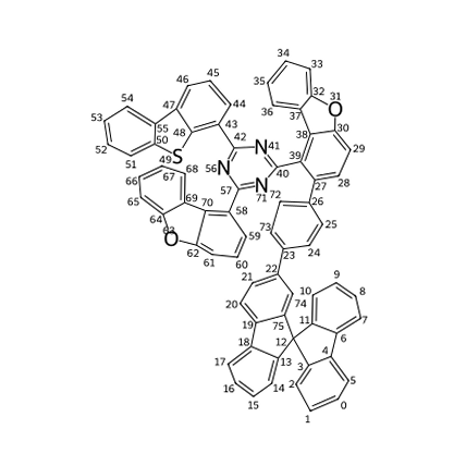 c1ccc2c(c1)-c1ccccc1C21c2ccccc2-c2ccc(-c3ccc(-c4ccc5oc6ccccc6c5c4-c4nc(-c5cccc6c5sc5ccccc56)nc(-c5cccc6oc7ccccc7c56)n4)cc3)cc21